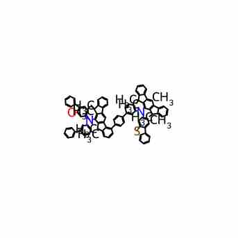 Cc1c2c(c(N(c3cccc(-c4ccc(-c5cccc6c5-c5cc7c(c(N(c8cccc(-c9ccccc9)c8)c8ccc9c(c8)oc8ccccc89)c5C6(C)C)C(C)(C)c5ccccc5-7)cc4)c3)c3ccc4c(c3)sc3ccccc34)c3c1-c1ccccc1C3(C)C)C(C)(C)c1ccccc1-2